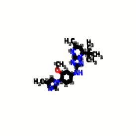 COc1cc(Nc2nc3nc(C)cc(C(C)(C)C)n3n2)ccc1-n1cnc(C)c1